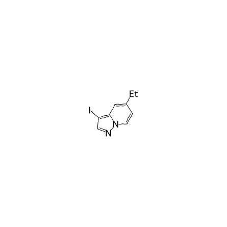 CCc1ccn2ncc(I)c2c1